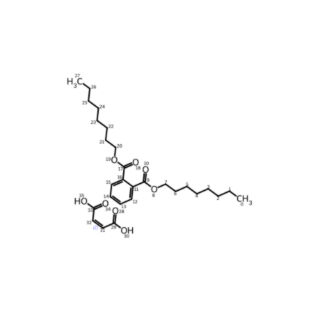 CCCCCCCCOC(=O)c1ccccc1C(=O)OCCCCCCCC.O=C(O)/C=C\C(=O)O